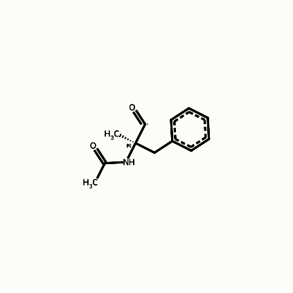 CC(=O)N[C@@](C)([C]=O)Cc1ccccc1